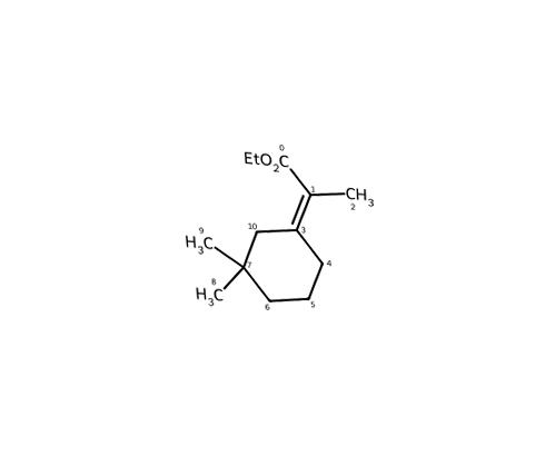 CCOC(=O)/C(C)=C1/CCCC(C)(C)C1